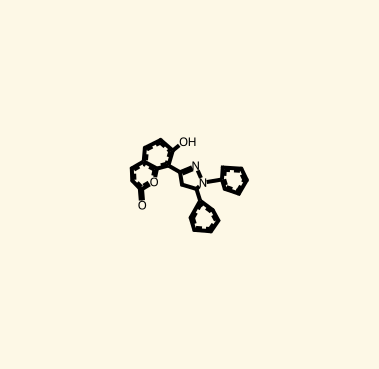 O=c1ccc2ccc(O)c(C3=NN(c4ccccc4)C(c4ccccc4)C3)c2o1